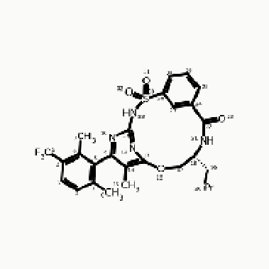 Cc1ccc(C(F)(F)F)c(C)c1-c1nc2nc(c1C)OC[C@@H](CC(C)C)NC(=O)c1cccc(c1)S(=O)(=O)N2